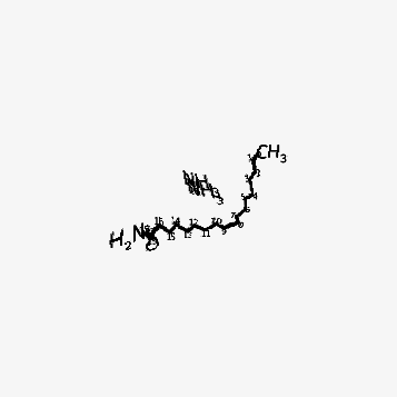 CCCCCCCC/C=C\CCCCCCCC(N)=O.N.N